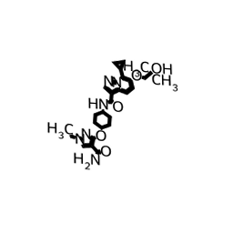 CCn1cc(C(N)=O)c(O[C@H]2CC[C@H](NC(=O)c3cnn4c(C5CC5)c(OCC(C)(C)O)ccc34)CC2)n1